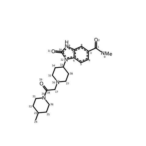 CNC(=O)c1ccc2c(c1)[nH]c(=O)n2C1CCN(CC(=O)N2CCC(C)CC2)CC1